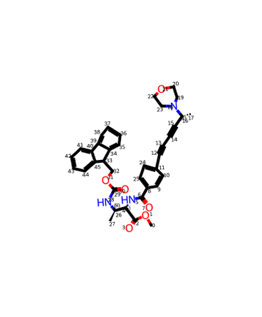 COC(=O)[C@@H](NC(=O)c1ccc(C#CC#C[C@@H](C)N2CCOCC2)cc1)[C@@H](C)NC(=O)OCC1c2ccccc2-c2ccccc21